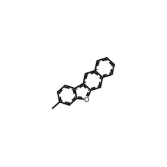 Cc1ccc2c(c1)oc1cc3ccccc3cc12